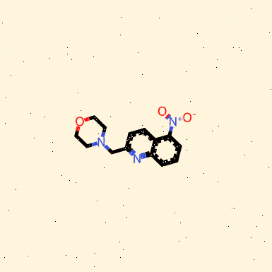 O=[N+]([O-])c1cccc2nc(CN3CCOCC3)ccc12